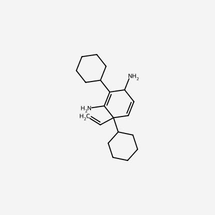 C=CC1(C2CCCCC2)C=CC(N)C(C2CCCCC2)=C1N